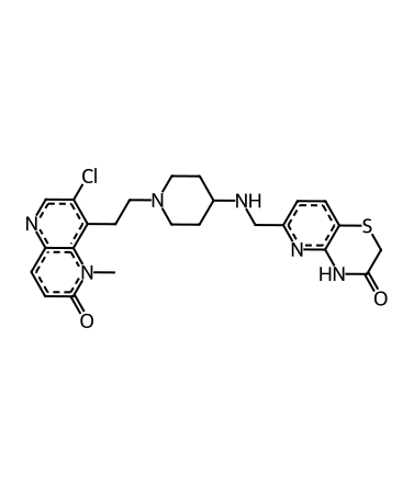 Cn1c(=O)ccc2ncc(Cl)c(CCN3CCC(NCc4ccc5c(n4)NC(=O)CS5)CC3)c21